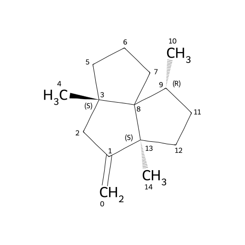 C=C1C[C@]2(C)CCCC23[C@H](C)CC[C@@]13C